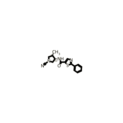 C[C@@H]1CN(C#N)C[C@H]1NC(=O)c1cnc(-c2ccccc2)s1